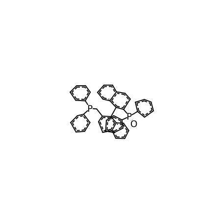 O=P(c1ccccc1)(c1ccccc1)c1ccc2ccccc2c1-c1c(CP(c2ccccc2)c2ccccc2)ccc2ccccc12